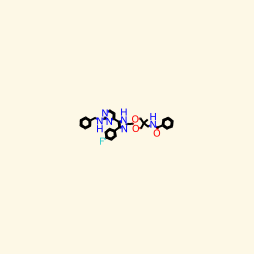 CC1(CNC(=O)c2ccccc2)COC(c2nc(-c3ccc(F)cc3)c(-c3ccnc(NCc4ccccc4)n3)[nH]2)OC1